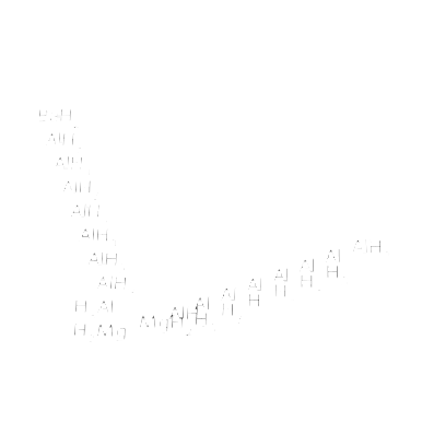 [AlH3].[AlH3].[AlH3].[AlH3].[AlH3].[AlH3].[AlH3].[AlH3].[AlH3].[AlH3].[AlH3].[AlH3].[AlH3].[AlH3].[AlH3].[AlH3].[BaH2].[MgH2].[MgH2]